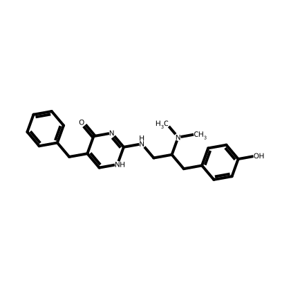 CN(C)C(CNc1nc(=O)c(Cc2ccccc2)c[nH]1)Cc1ccc(O)cc1